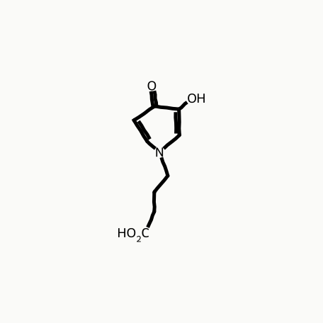 O=C(O)CCCn1ccc(=O)c(O)c1